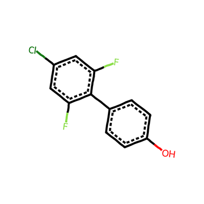 Oc1ccc(-c2c(F)cc(Cl)cc2F)cc1